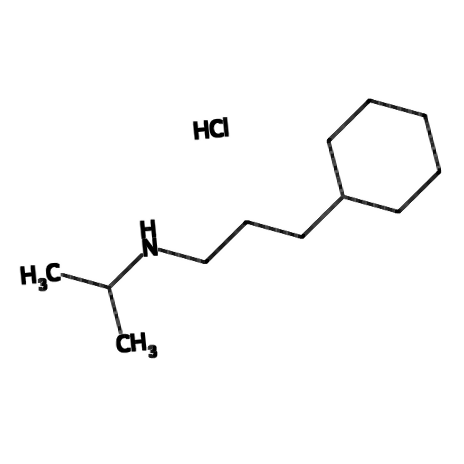 CC(C)NCCCC1CCCCC1.Cl